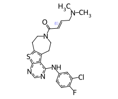 CN(C)C/C=C/C(=O)N1CCc2sc3ncnc(Nc4ccc(F)c(Cl)c4)c3c2CC1